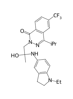 CCN1CCc2cc(NC(C)(O)Cn3nc(C(C)C)c4cc(C(F)(F)F)ccc4c3=O)ccc21